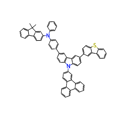 CC1(C)c2ccccc2-c2ccc(N(c3ccccc3)c3ccc(-c4ccc5c(c4)c4cc(-c6ccc7sc8ccccc8c7c6)ccc4n5-c4ccc5c6ccccc6c6ccccc6c5c4)cc3)cc21